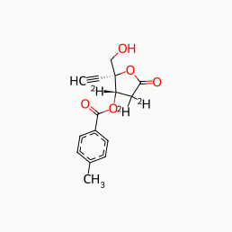 [2H]C1([2H])C(=O)O[C@](C#C)(CO)[C@@]1([2H])OC(=O)c1ccc(C)cc1